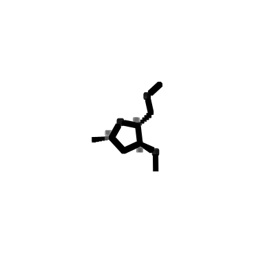 COC[C@H]1O[C@@H](C)C[C@@H]1OC